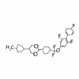 CC1CCC(C2COC(C3CCC(C(F)(F)Oc4cc(F)c(-c5ccc(F)cc5)c(F)c4)CC3)OC2)CC1